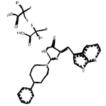 O=C(O)C(F)(F)F.O=C(O)C(F)(F)F.O=C1NC(N2CCC(c3ccccc3)CC2)=N/C1=C\c1c[nH]c2ncccc12